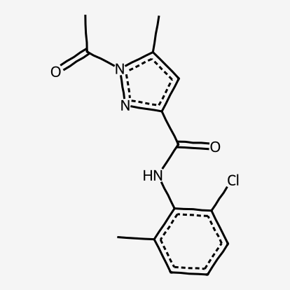 CC(=O)n1nc(C(=O)Nc2c(C)cccc2Cl)cc1C